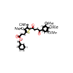 COc1cc(C(=O)CCC(=O)c2sc(CCC(=O)OCc3ccccc3)c(OC)c2OC)cc(OC)c1OC